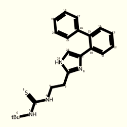 CC(C)(C)NC(=S)NCCc1nc(-c2ccccc2-c2ccccc2)c[nH]1